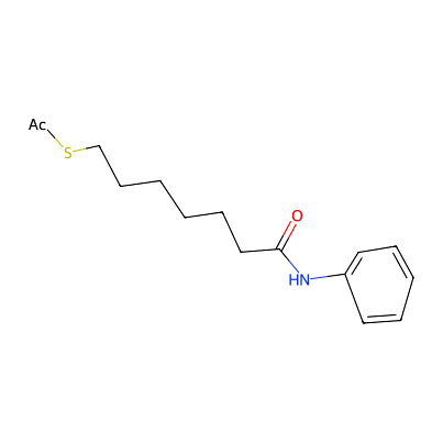 CC(=O)SCCCCCCC(=O)Nc1ccccc1